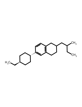 CCC(C)CC1CCc2cc([C@H]3CC[C@H](CC)CC3)ccc2C1